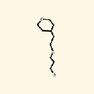 BrCCCOCCC1CCOCC1